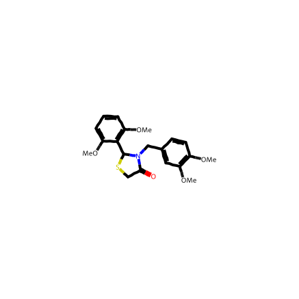 COc1ccc(CN2C(=O)CSC2c2c(OC)cccc2OC)cc1OC